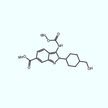 COC(=O)c1ccc2c(NC(=O)OC(C)(C)C)n(C3CCC(CO)CC3)nc2c1